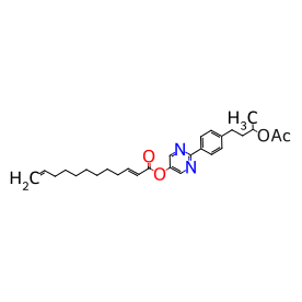 C=CCCCCCCCC=CC(=O)Oc1cnc(-c2ccc(CCC(C)OC(C)=O)cc2)nc1